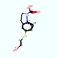 O=C(O)N1CCc2cc(SCCO)ccc21